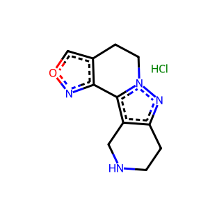 Cl.c1onc2c1CCn1nc3c(c1-2)CNCC3